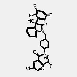 O=C(NC1CCC(CN2C(=O)C(O)(c3cc(F)cc(F)c3F)c3ccccc32)CC1)c1cc(Cl)cnc1C(F)F